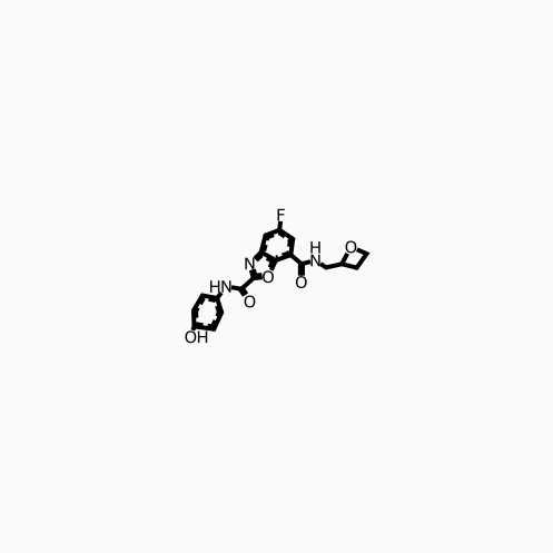 O=C(Nc1ccc(O)cc1)c1nc2cc(F)cc(C(=O)NCC3CCO3)c2o1